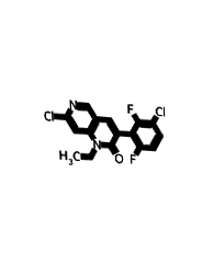 CCn1c(=O)c(-c2c(F)ccc(Cl)c2F)cc2cnc(Cl)cc21